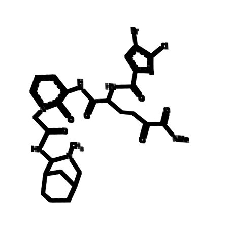 CNC(=O)C(=O)CCC(NC(=O)c1cc(Br)c(Cl)s1)C(=O)Nc1cccn(CC(=O)NC2C3CCCC(C3)CN2C)c1=O